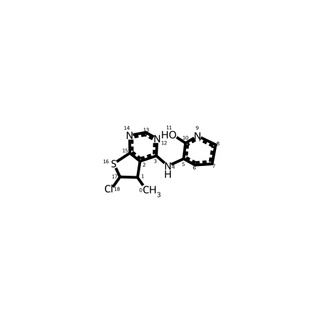 CC1c2c(Nc3cccnc3O)ncnc2SC1Cl